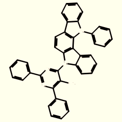 N#Cc1c(-c2ccccc2)nc(-c2ccccc2)nc1-n1c2ccccc2c2c1ccc1c3ccccc3n(-c3ccccc3)c12